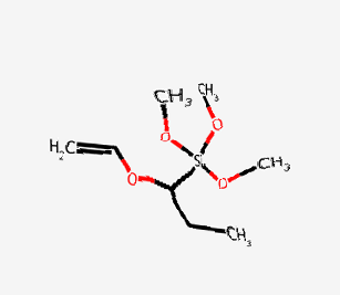 C=COC(CC)[Si](OC)(OC)OC